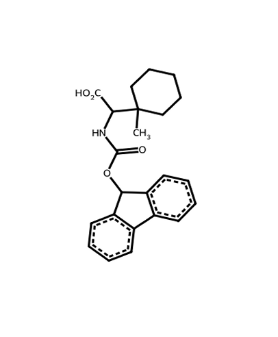 CC1(C(NC(=O)OC2c3ccccc3-c3ccccc32)C(=O)O)CCCCC1